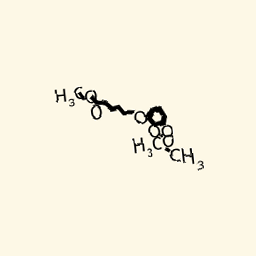 CCOC(=O)CCCCCOc1cccc2c1OC(C)(OCC)O2